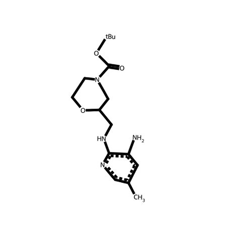 Cc1cnc(NCC2CN(C(=O)OC(C)(C)C)CCO2)c(N)c1